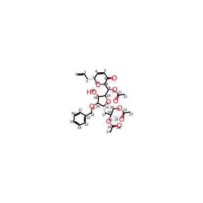 C=CC[C@@H]1C=CC(=O)C([C@@H](OC(C)=O)C2O[C@H](C[C@@](C)(COC(C)=O)OC(C)=O)C(OCc3ccccc3)C2O)O1